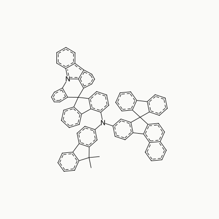 CC1(C)c2ccccc2-c2ccc(N(c3ccc4c(c3)C3(c5ccccc5-c5ccccc53)c3ccc5ccccc5c3-4)c3cccc4c3-c3ccccc3C43c4ccccc4-n4c5ccccc5c5cccc3c54)cc21